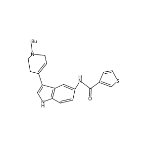 CCC(C)N1CC=C(c2c[nH]c3ccc(NC(=O)c4ccsc4)cc23)CC1